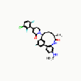 C[C@@H]1CCC[C@H](N2CCC(c3c(F)ccc(Cl)c3F)=CC2=O)c2cc(F)cc(c2)-c2ccc(NC(=O)O)cc2NC1=O